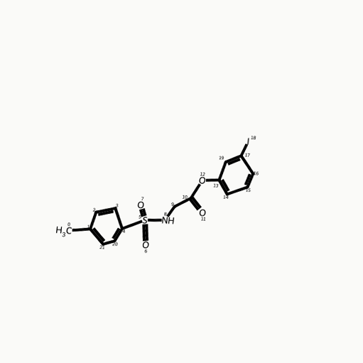 Cc1ccc(S(=O)(=O)NCC(=O)Oc2cccc(I)c2)cc1